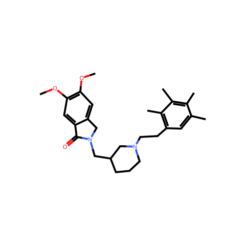 COc1cc2c(cc1OC)C(=O)N(CC1CCCN(CCc3cc(C)c(C)c(C)c3C)C1)C2